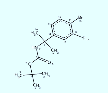 CC(C)(C)OC(=O)NC(C)(C)c1ccc(Br)c(F)c1